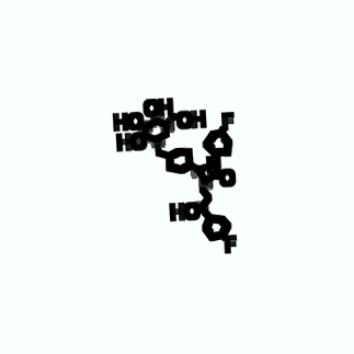 O=C1[C@H](CC[C@H](O)c2ccc(F)cc2)[C@@H](c2ccc(C[C@@H]3C[C@H](CO)[C@@H](O)[C@H](O)[C@H]3O)cc2)N1c1ccc(F)cc1